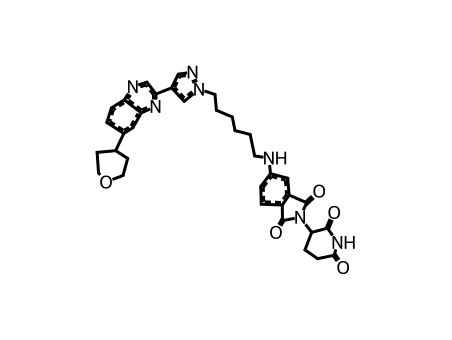 O=C1CCC(N2C(=O)c3ccc(NCCCCCCn4cc(-c5cnc6ccc(C7CCOCC7)cc6n5)cn4)cc3C2=O)C(=O)N1